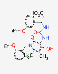 CCOc1cccc(Cl)c1Cn1c(C)c(C)c(O)c(NC(=O)N[C@@H](CC(=O)O)c2cccc(OC(C)C)c2)c1=O